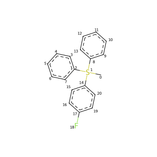 CS(c1ccccc1)(c1ccccc1)c1ccc(F)cc1